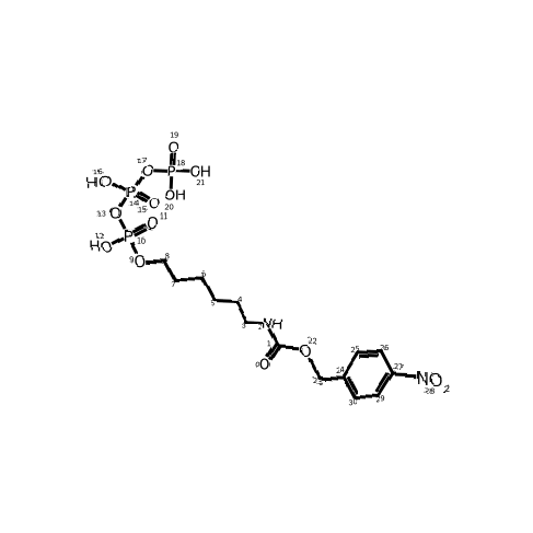 O=C(NCCCCCCOP(=O)(O)OP(=O)(O)OP(=O)(O)O)OCc1ccc([N+](=O)[O-])cc1